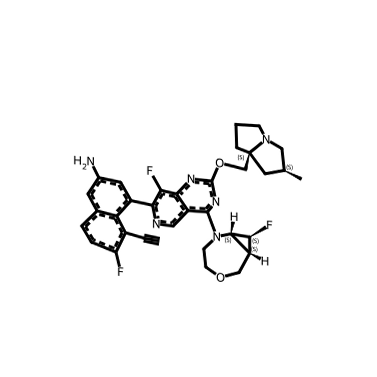 C#Cc1c(F)ccc2cc(N)cc(-c3ncc4c(N5CCOC[C@H]6[C@H](F)[C@H]65)nc(OC[C@@]56CCCN5C[C@@H](C)C6)nc4c3F)c12